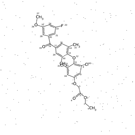 CCOC(=O)COc1cc(Cl)c(Oc2c(C)cc(C(=O)c3cc(F)cc(OC)c3)cc2C)c(Cl)c1